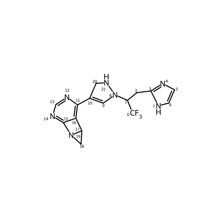 FC(F)(F)C(Cc1ncc[nH]1)N1C=C(c2ncnc3c2C2CN32)CN1